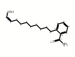 CCCCCCCC/C=C\CCCCCCCCc1ccccc1C(N)=O